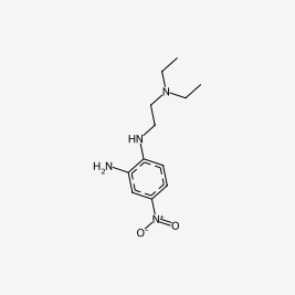 CCN(CC)CCNc1ccc([N+](=O)[O-])cc1N